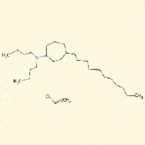 C=CCl.CCCCCCCCCCCC1CCCC(N(CCCC)CCCC)CC1